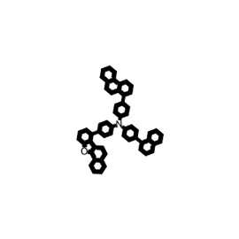 c1ccc2c(-c3ccc(N(c4ccc(-c5cccc6c5ccc5ccccc56)cc4)c4ccc(-c5cccc6oc7c8ccccc8ccc7c56)cc4)cc3)cccc2c1